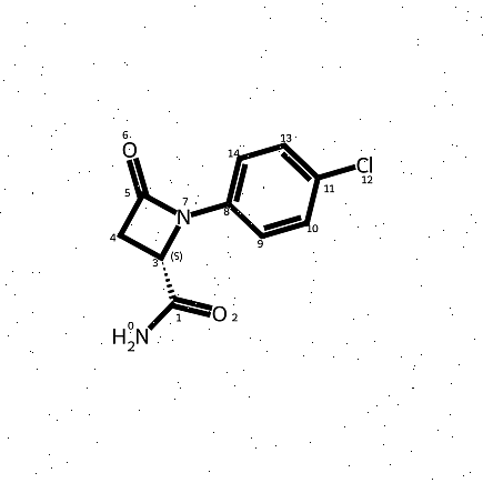 NC(=O)[C@@H]1CC(=O)N1c1ccc(Cl)cc1